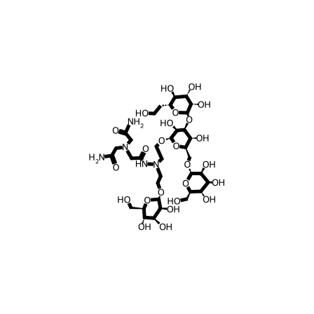 NC(=O)CN(CC(N)=O)CC(=O)NN(CCO[C@H]1O[C@H](CO)[C@@H](O)[C@H](O)[C@@H]1O)CCO[C@H]1O[C@H](CO[C@H]2O[C@H](CO)[C@@H](O)[C@H](O)[C@@H]2O)[C@@H](O)[C@H](O[C@H]2O[C@H](CCO)[C@@H](O)[C@H](O)[C@@H]2O)[C@@H]1O